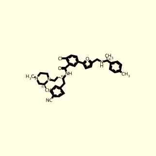 Cc1ccc([C@@H](C)NCc2ccc(-c3ccc(Cl)c(C(=O)N[C@@H](CCN4CCN(C)C[C@@H]4C)Cc4ccc(C#N)cc4)c3)o2)cc1